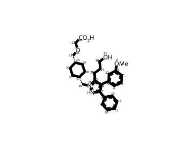 COc1cccc(-c2c(-c3ccccc3)nn(C[C@H]3CC[C@@H](COCC(=O)O)CC3)c2CCCO)c1